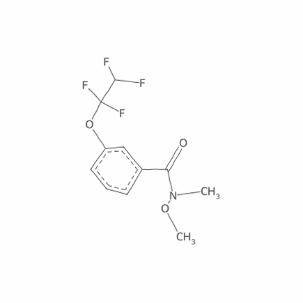 CON(C)C(=O)c1cccc(OC(F)(F)C(F)F)c1